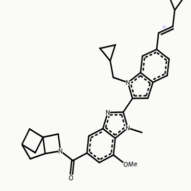 COc1cc(C(=O)N2CC34CC(CC23)C4)cc2nc(-c3cc4ccc(/C=C/C5CC5)cc4n3CC3CC3)n(C)c12